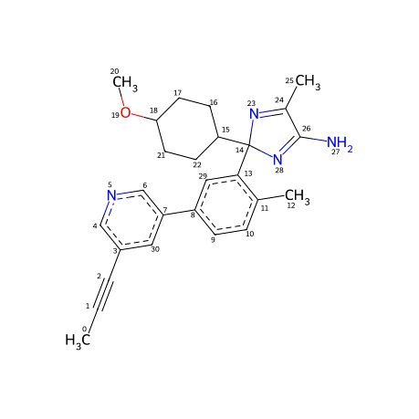 CC#Cc1cncc(-c2ccc(C)c(C3(C4CCC(OC)CC4)N=C(C)C(N)=N3)c2)c1